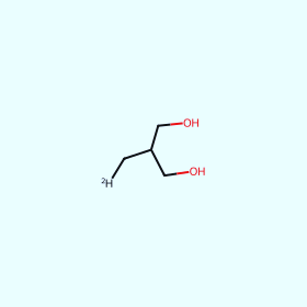 [2H]CC(CO)CO